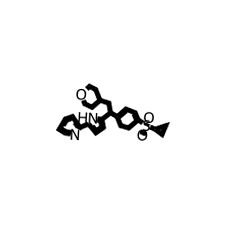 O=S(=O)(C1=CC=C(C(CC2CCOCC2)c2ccc(-c3ccccn3)[nH]2)CC1)C1CC1